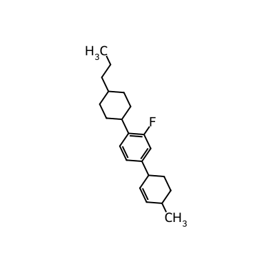 CCCC1CCC(c2ccc(C3C=CC(C)CC3)cc2F)CC1